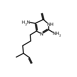 C=CC(C)CCCC1=C(N)C(=C)NC(N)=N1